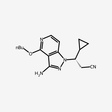 CCCCOc1nccc2c1c(N)nn2[C@@H](CC#N)C1CC1